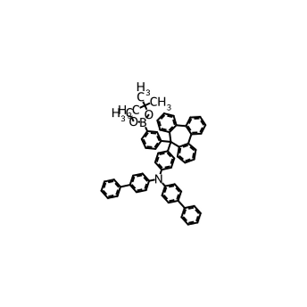 COB(OC(C)(C)C)c1cccc(C2(c3ccc(N(c4ccc(-c5ccccc5)cc4)c4ccc(-c5ccccc5)cc4)cc3)c3ccccc3-c3ccccc3-c3ccccc32)c1